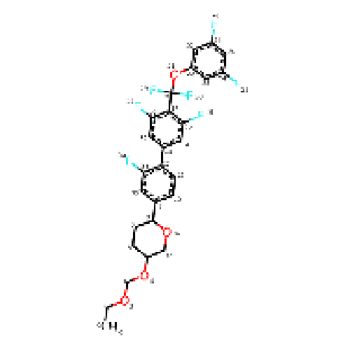 CCOCOC1CCC(c2ccc(-c3cc(F)c(C(F)(F)Oc4cc(F)cc(F)c4)c(F)c3)c(F)c2)OC1